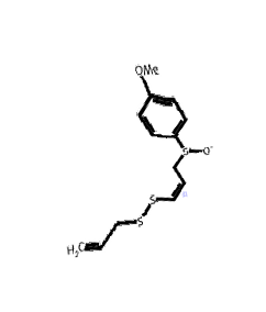 C=CCSS/C=C\C[S+]([O-])c1ccc(OC)cc1